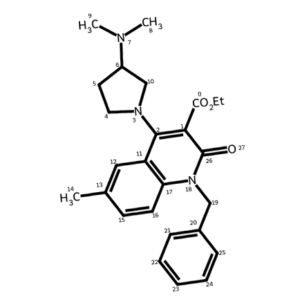 CCOC(=O)c1c(N2CCC(N(C)C)C2)c2cc(C)ccc2n(Cc2ccccc2)c1=O